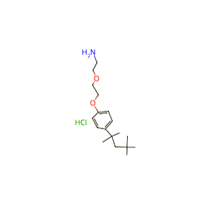 CC(C)(C)CC(C)(C)c1ccc(OCCOCCN)cc1.Cl